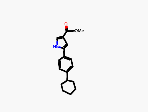 COC(=O)c1c[nH]c(-c2ccc(C3CCCCC3)cc2)c1